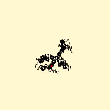 COc1cc2nn([C@H]3CC[C@H](CN(CC([C@H]4CC[C@H](n5cc6cc(NC(=O)c7cccc(C(F)(F)F)n7)c(C(C)(C)O)cc6n5)CC4)N(C)CC#Cc4cccc5c4n(C)c(=O)n5C4CCC(=O)NC4=O)[C@H]4CC[C@H](Cc5cccc6c5n(C)c(=O)n6C5CCC(=O)NC5=O)CC4)CC3)cc2cc1NC(=O)c1cccc(C(F)(F)F)n1